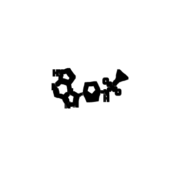 O=S(=O)(N[C@]12CC[C@](c3nnc4cnc5[nH]ccc5n43)(CC1)C2)C1CC1